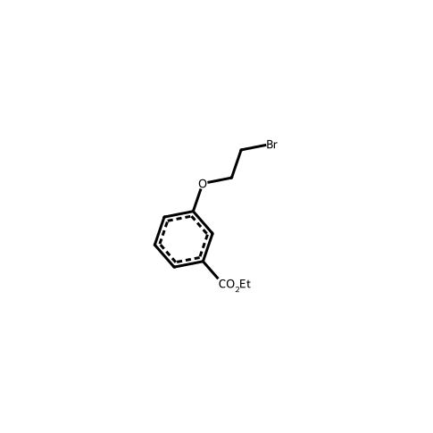 CCOC(=O)c1cccc(OCCBr)c1